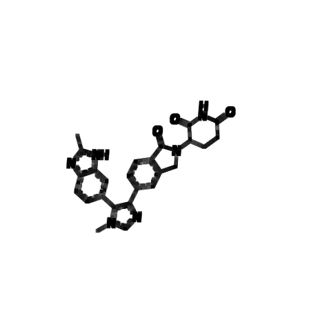 Cc1nc2ccc(-c3c(-c4ccc5c(c4)CN(C4CCC(=O)NC4=O)C5=O)ncn3C)cc2[nH]1